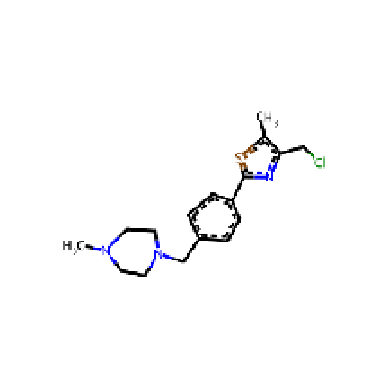 Cc1sc(-c2ccc(CN3CCN(C)CC3)cc2)nc1CCl